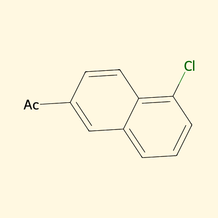 CC(=O)c1ccc2c(Cl)cccc2c1